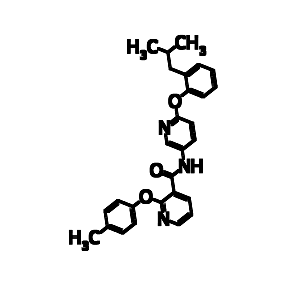 Cc1ccc(Oc2ncccc2C(=O)Nc2ccc(Oc3ccccc3CC(C)C)nc2)cc1